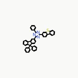 c1ccc(-c2nc(-c3ccc4c(c3)-c3ccccc3C4(c3ccccc3)c3ccccc3)nc(-c3ccc4c(c3)sc3ccccc34)n2)cc1